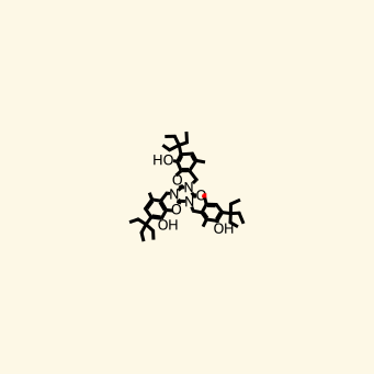 CCC(CC)(CC)c1cc(C)c(Cn2c(=O)n(Cc3c(C)cc(C(CC)(CC)CC)c(O)c3C)c(=O)n(Cc3c(C)cc(C(CC)(CC)CC)c(O)c3C)c2=O)c(C)c1O